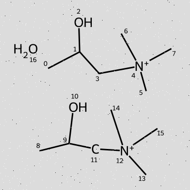 CC(O)C[N+](C)(C)C.CC(O)C[N+](C)(C)C.O